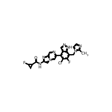 Cc1nccn1Cc1c(F)c(Cl)c(-c2cn3cc(NC(=O)C4CC4F)nc3cn2)c2cn[nH]c12